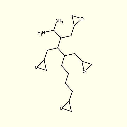 NC(N)C(CC1CO1)C(CC1CO1)C(CCCCC1CO1)CC1CO1